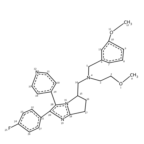 COCCN(Cc1cccc(OC)c1)CC1CCc2nc(-c3ccc(F)cc3)c(-c3ccncc3)n21